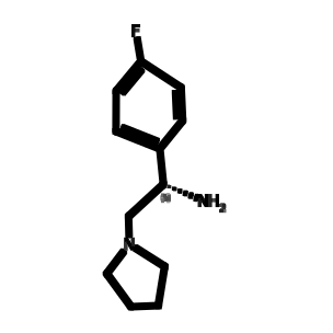 N[C@H](CN1CCCC1)c1ccc(F)cc1